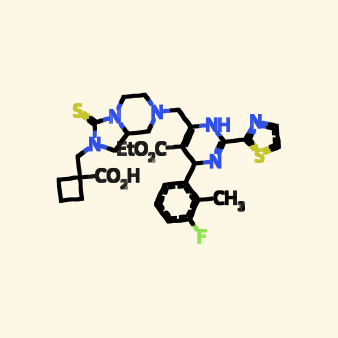 CCOC(=O)C1=C(CN2CCN3C(=S)N(CC4(C(=O)O)CCC4)CC3C2)NC(c2nccs2)=NC1c1cccc(F)c1C